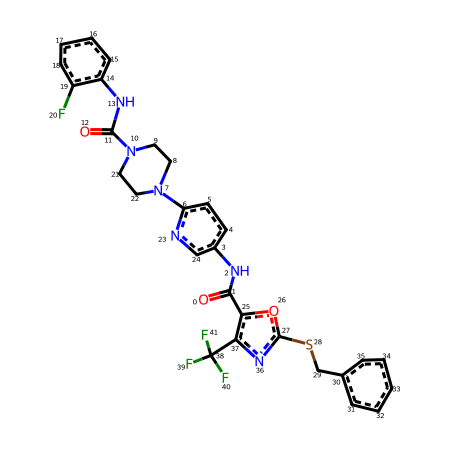 O=C(Nc1ccc(N2CCN(C(=O)Nc3ccccc3F)CC2)nc1)c1oc(SCc2ccccc2)nc1C(F)(F)F